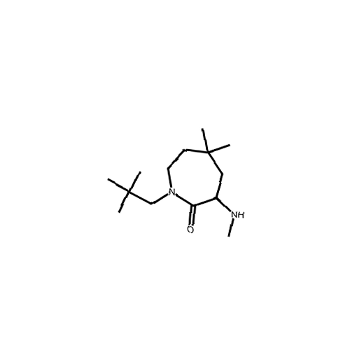 CNC1CC(C)(C)CCN(CC(C)(C)C)C1=O